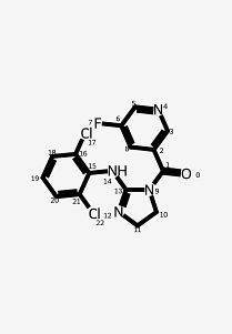 O=C(c1cncc(F)c1)N1CCN=C1Nc1c(Cl)cccc1Cl